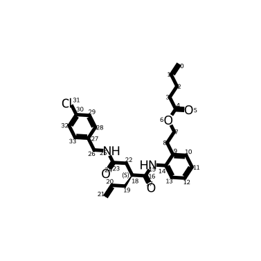 C=CCCC(=O)OCCc1ccccc1NC(=O)[C@@H](CC=C)CC(=O)NCc1ccc(Cl)cc1